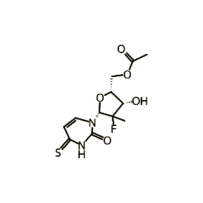 CC(=O)OC[C@H]1O[C@@H](n2ccc(=S)[nH]c2=O)C(C)(F)[C@H]1O